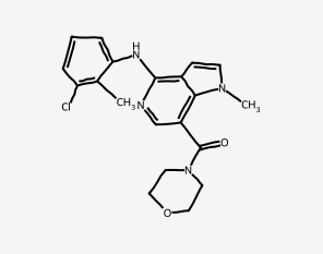 Cc1c(Cl)cccc1Nc1ncc(C(=O)N2CCOCC2)c2c1ccn2C